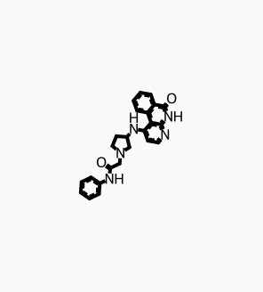 O=C(CN1CCC(Nc2ccnc3[nH]c(=O)c4ccccc4c23)C1)Nc1ccccc1